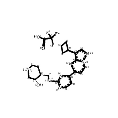 O=C(O)C(F)(F)F.O[C@@H]1CNCC[C@H]1CNc1nccc(-c2ccn3ncc(C4CCC4)c3n2)n1